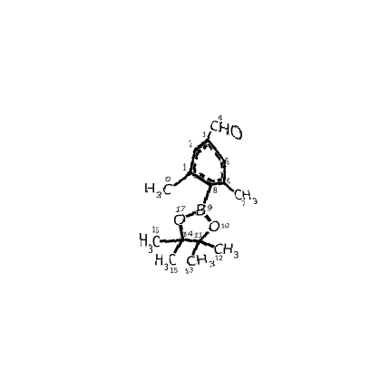 Cc1cc(C=O)cc(C)c1B1OC(C)(C)C(C)(C)O1